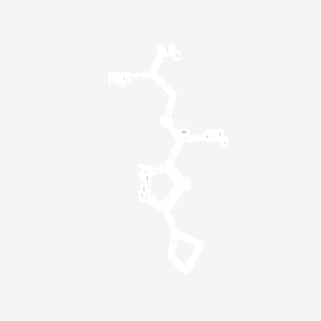 CC(C)CO[C@H](C)c1nnc(C2CCC2)o1